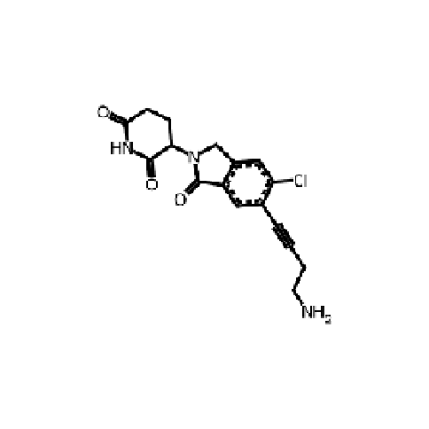 NCCC#Cc1cc2c(cc1Cl)CN(C1CCC(=O)NC1=O)C2=O